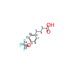 O=C(O)CCCc1ccc(OC(F)(F)F)cc1